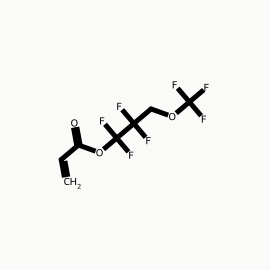 C=CC(=O)OC(F)(F)C(F)(F)COC(F)(F)F